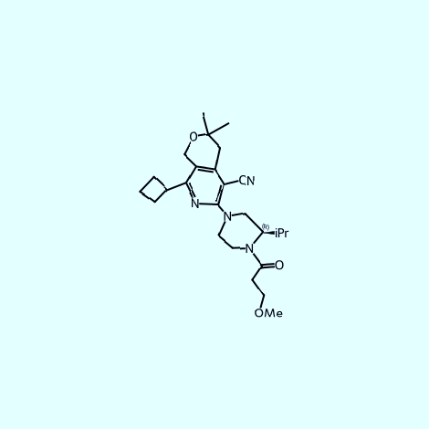 COCCC(=O)N1CCN(c2nc(C3CCC3)c3c(c2C#N)CC(C)(C)OC3)C[C@H]1C(C)C